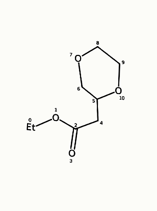 CCOC(=O)CC1COCCO1